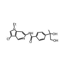 CCn1cc(Cl)c2cnc(NC(=O)c3ccc(C(C)(O)CO)cc3)cc21